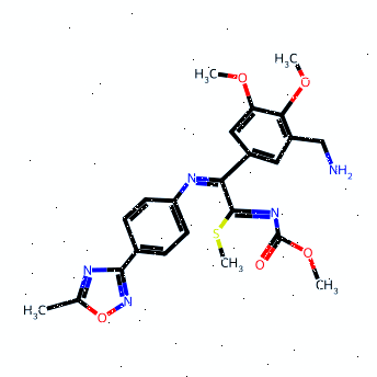 COC(=O)/N=C(\SC)C(=Nc1ccc(-c2noc(C)n2)cc1)c1cc(CN)c(OC)c(OC)c1